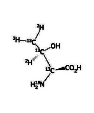 [2H][13CH]([2H])[13C@@]([2H])(O)[13C@H]([15NH2])[13C](=O)O